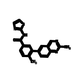 Cc1ccc(C(=O)Nc2nccs2)cc1-c1ccc2nc(N)ncc2c1